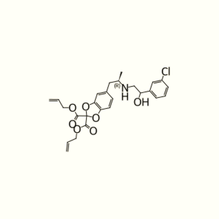 C=CCOC(=O)C1(C(=O)OCC=C)Oc2ccc(C[C@@H](C)NCC(O)c3cccc(Cl)c3)cc2O1